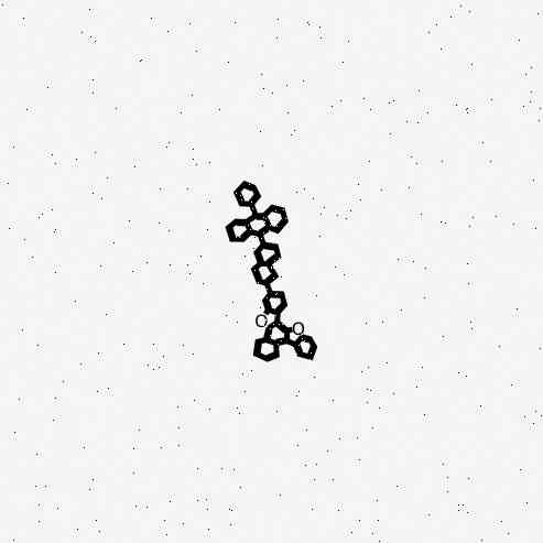 c1ccc(-c2c3ccccc3c(-c3ccc4cc(-c5ccc6c(c5)oc5c7ccccc7c7c8ccccc8oc7c65)ccc4c3)c3ccccc23)cc1